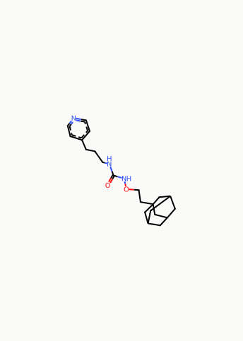 O=C(NCCCc1ccncc1)NOCCC12CC3CC(CC(C3)C1)C2